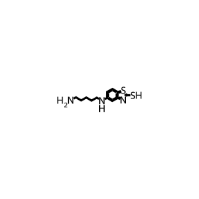 NCCCCCNc1ccc2sc(S)nc2c1